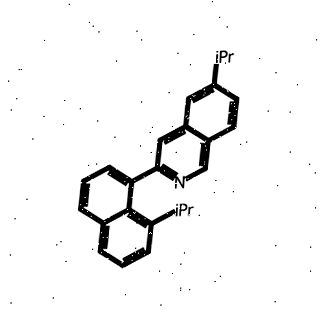 CC(C)c1ccc2cnc(-c3cccc4cccc(C(C)C)c34)cc2c1